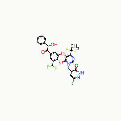 CC(F)(F)c1ncn(Cc2cc(Cl)n[nH]c2=O)c(=O)c1Oc1cc(C(=O)C(O)c2ccccc2)cc(C(F)F)c1